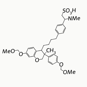 CNC(CS(=O)(=O)O)c1ccc(CCCCC2c3ccc(OCOC)cc3OCC2(C)c2ccc(OCOC)cc2)cc1